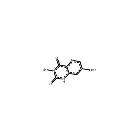 CCn1c(=O)[nH]c2cc(C=O)cnc2c1=O